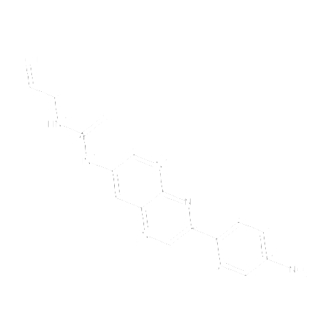 C=CCNC(=S)Nc1cnc2nc(-c3ccc([N+](=O)[O-])cc3)cnc2c1